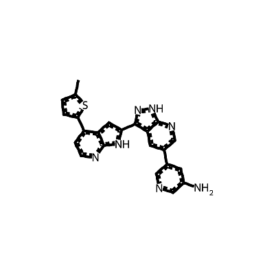 Cc1ccc(-c2ccnc3[nH]c(-c4n[nH]c5ncc(-c6cncc(N)c6)cc45)cc23)s1